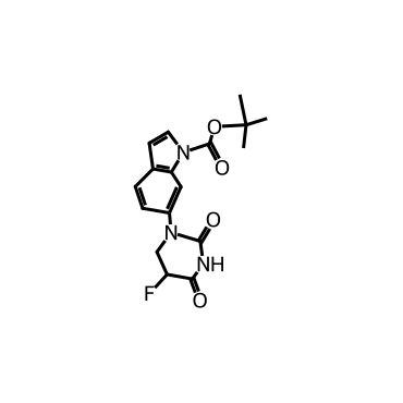 CC(C)(C)OC(=O)n1ccc2ccc(N3CC(F)C(=O)NC3=O)cc21